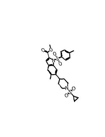 COC(=O)c1cc2cc(C)c(C3CCN(S(=O)(=O)C4CC4)CC3)cc2n1S(=O)(=O)c1ccc(C)cc1